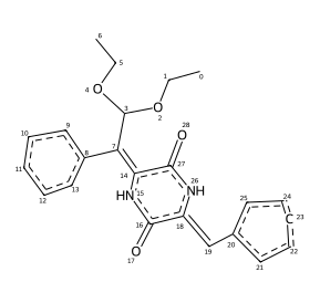 CCOC(OCC)C(c1ccccc1)=c1[nH]c(=O)c(=Cc2ccccc2)[nH]c1=O